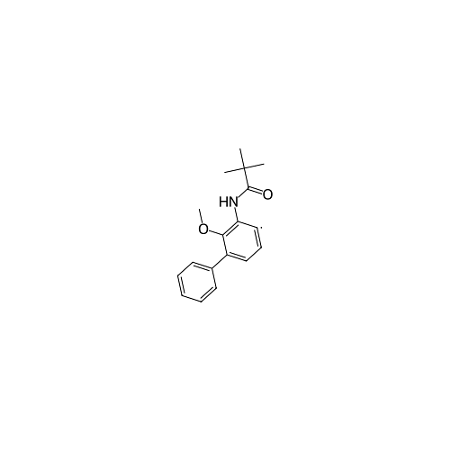 COc1c(NC(=O)C(C)(C)C)[c]ccc1-c1ccccc1